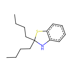 CCCCC1(CCCC)Nc2ccccc2S1